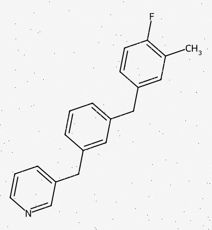 Cc1cc(Cc2cccc(Cc3cccnc3)c2)ccc1F